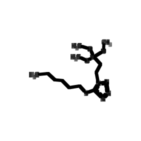 CCCCCCSc1nnnn1CC[Si](OC)(OC)OC